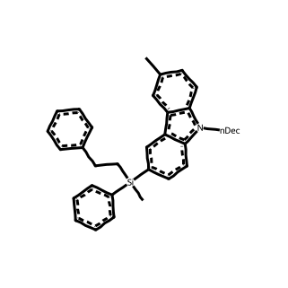 CCCCCCCCCCn1c2ccc(C)cc2c2cc([Si](C)(CCc3ccccc3)c3ccccc3)ccc21